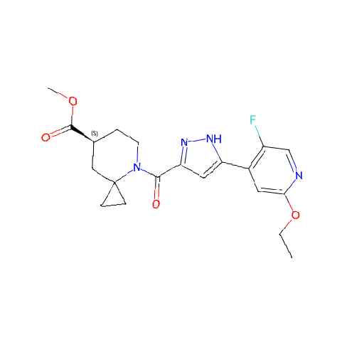 CCOc1cc(-c2cc(C(=O)N3CC[C@H](C(=O)OC)CC34CC4)n[nH]2)c(F)cn1